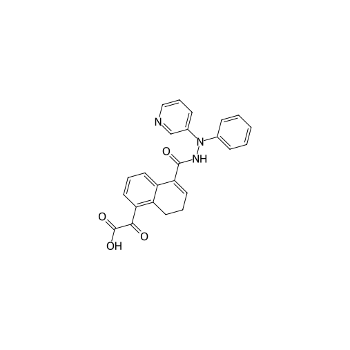 O=C(O)C(=O)c1cccc2c1CCC=C2C(=O)NN(c1ccccc1)c1cccnc1